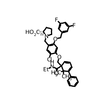 CCNC(=O)C1(COc2cc(OCc3cc(F)cc(F)c3)c(CN3CCC[C@H]3C(=O)O)cc2Cl)C=CC=C(c2ccccc2)C1(C)C